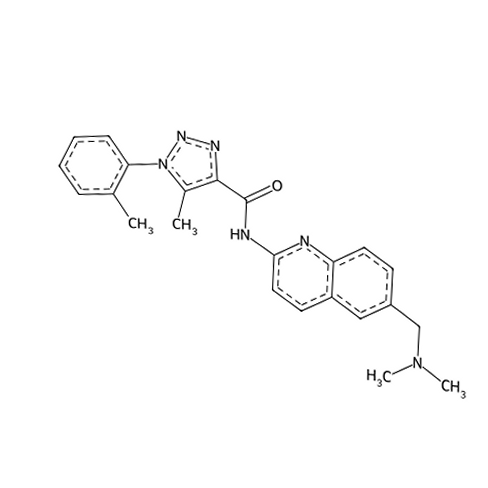 Cc1ccccc1-n1nnc(C(=O)Nc2ccc3cc(CN(C)C)ccc3n2)c1C